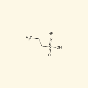 CCCS(=O)(=O)O.F